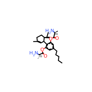 C=C(C)C1CCC(C)=CC1c1c(OC(=O)[C@H](C)N)cc(CCCCC)cc1OC(=O)[C@H](C)N